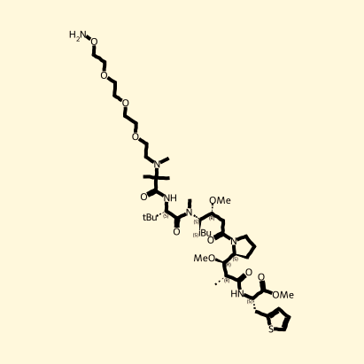 CC[C@H](C)[C@@H]([C@@H](CC(=O)N1CCC[C@H]1[C@H](OC)[C@@H](C)C(=O)N[C@@H](Cc1cccs1)C(=O)OC)OC)N(C)C(=O)[C@@H](NC(=O)C(C)(C)N(C)CCOCCOCCOCCON)C(C)(C)C